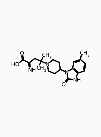 Cc1ccc2[nH]c(=O)n(C3CCN(C(C)(C)CC(=N)C(=O)O)CC3)c2c1